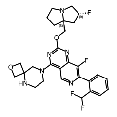 Fc1c(-c2ccccc2C(F)F)ncc2c(N3CCNC4(COC4)C3)nc(OC[C@@]34CCCN3C[C@H](F)C4)nc12